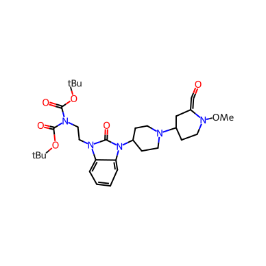 CON1CCC(N2CCC(n3c(=O)n(CCN(C(=O)OC(C)(C)C)C(=O)OC(C)(C)C)c4ccccc43)CC2)CC1=C=O